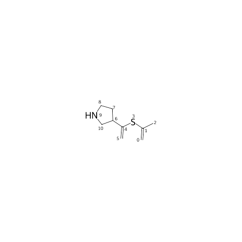 C=C(C)SC(=C)C1CCNC1